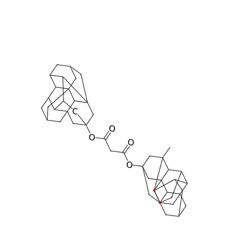 CC12CC3(OC(=O)CC(=O)OC45CC6C7C8CC9CC%10%11CC%12CC(C8%10)C6C(C%12)(C4)C%11C7(C9)C5)CC45CC6CC(C7C8CC9CC7(C6)C4C(C9)(C3)C81)C25